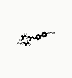 C=C(CO)C(=O)OCC(CCc1ccc(-c2ccc(CCCCC)cc2)cc1F)COC(=O)C(=C)COC